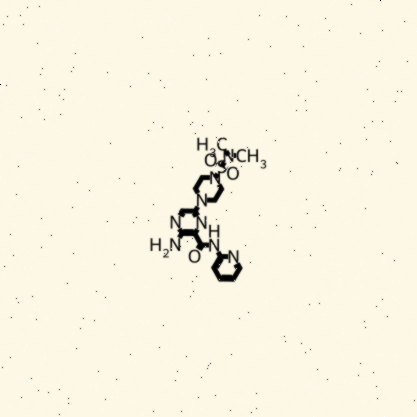 CN(C)S(=O)(=O)N1CCN(c2cnc(N)c(C(=O)Nc3ccccn3)n2)CC1